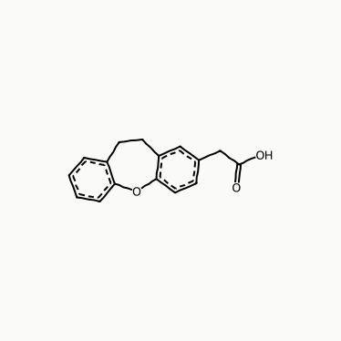 O=C(O)Cc1ccc2c(c1)CCc1ccccc1O2